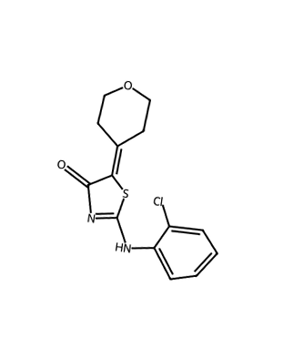 O=C1N=C(Nc2ccccc2Cl)SC1=C1CCOCC1